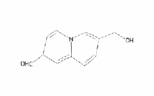 O=CC1C=CN2C=C(CO)C=CC2=C1